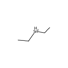 C[CH2][SnH2][CH2]C